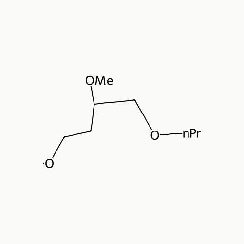 CCCOCC(CC[O])OC